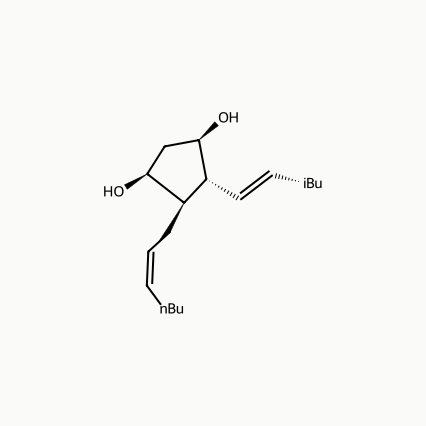 CCCC/C=C\C[C@@H]1[C@@H](/C=C/[C@@H](C)CC)[C@H](O)C[C@@H]1O